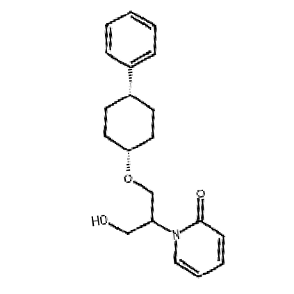 O=c1ccccn1C(CO)CO[C@H]1CC[C@@H](c2ccccc2)CC1